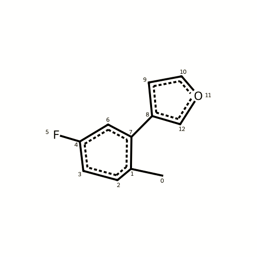 Cc1ccc(F)cc1-c1ccoc1